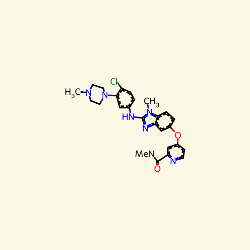 CNC(=O)c1cc(Oc2ccc3c(c2)nc(Nc2ccc(Cl)c(N4CCN(C)CC4)c2)n3C)ccn1